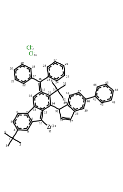 CC(C)(C)c1ccc2c(c1)[C]([Zr+2])=c1c-2cc(=C(c2ccccc2)c2ccccc2)c(C(C)(C)C)c1C1C=Cc2cc(-c3ccccc3)ccc21.[Cl-].[Cl-]